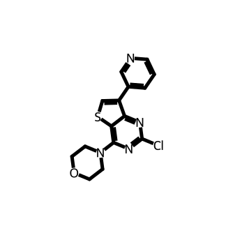 Clc1nc(N2CCOCC2)c2scc(-c3cccnc3)c2n1